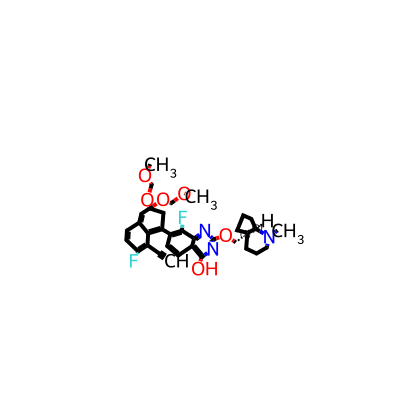 C#Cc1c(F)ccc2c1=C(c1ccc3c(O)nc(OC[C@]45CCC[C@H]4N(C)CCC5)nc3c1F)CC(OCOC)(OCOC)C=2